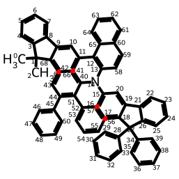 CC1(C)c2ccccc2-c2cc(-c3c(N(c4ccc5c(c4)-c4ccccc4C5(c4ccccc4)c4ccccc4)c4cccc(-c5ccccc5)c4-c4ccccc4)ccc4ccccc34)ccc21